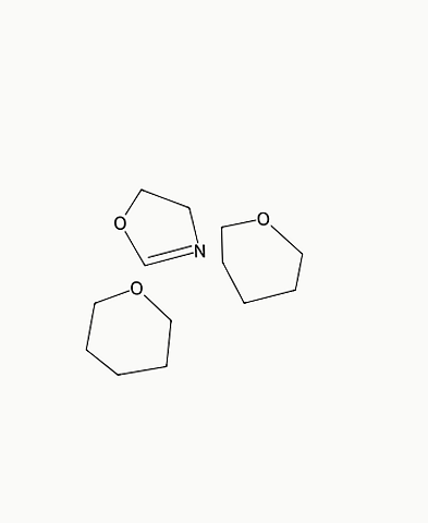 C1=NCCO1.C1CCOCC1.C1CCOCC1